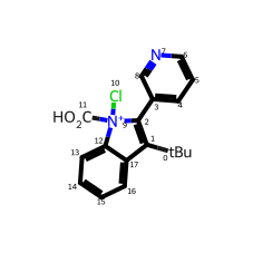 CC(C)(C)C1=C(c2cccnc2)[N+](Cl)(C(=O)O)c2ccccc21